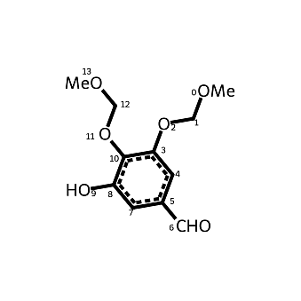 COCOc1cc(C=O)cc(O)c1OCOC